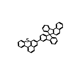 c1ccc2c(c1)Sc1cc(-c3ccc4c(c3)-c3ccccc3C43c4ccccc4-c4c3ccc3ccccc43)cc3cccc-2c13